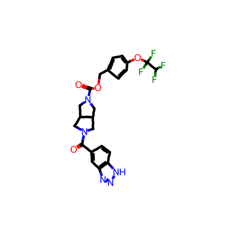 O=C(OCc1ccc(OC(F)(F)C(F)F)cc1)N1CC2CN(C(=O)c3ccc4[nH]nnc4c3)CC2C1